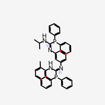 Cc1cccc(C)c1N/C(=N\c1cccc(/N=C(/NC(C)C)P(c2ccccc2)c2ccccc2)c1)P(c1ccccc1)c1ccccc1